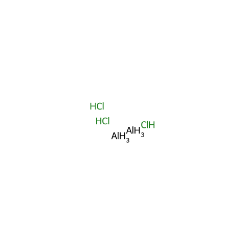 Cl.Cl.Cl.[AlH3].[AlH3]